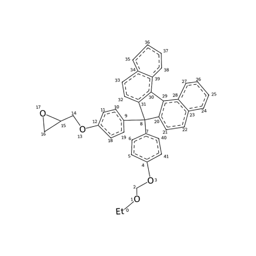 CCOCOc1ccc(C2(c3ccc(OCC4CO4)cc3)c3ccc4ccccc4c3-c3c2ccc2ccccc32)cc1